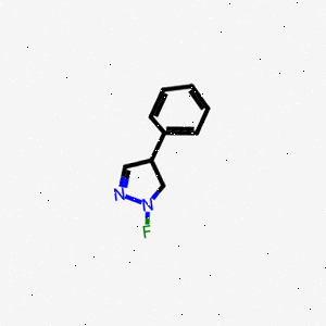 FN1CC(c2ccccc2)C=N1